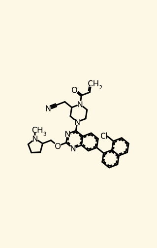 C=CC(=O)N1CCN(c2nc(OCC3CCCN3C)nc3cc(-c4cccc5cccc(Cl)c45)ccc23)CC1CC#N